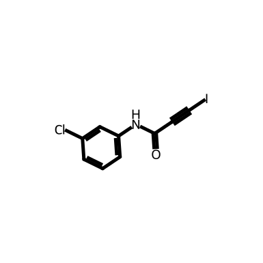 O=C(C#CI)Nc1cccc(Cl)c1